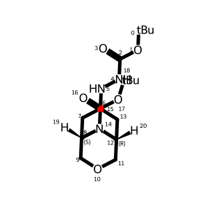 CC(C)(C)OC(=O)NNC1C[C@H]2COC[C@@H](C1)N2C(=O)OC(C)(C)C